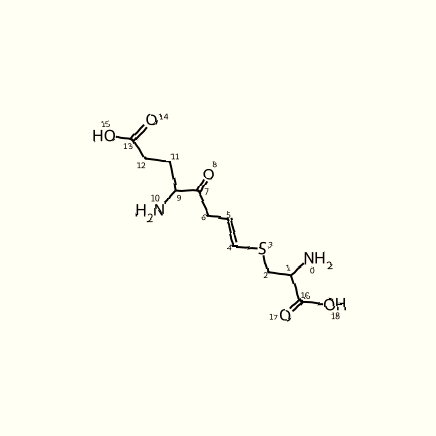 NC(CSC=CCC(=O)C(N)CCC(=O)O)C(=O)O